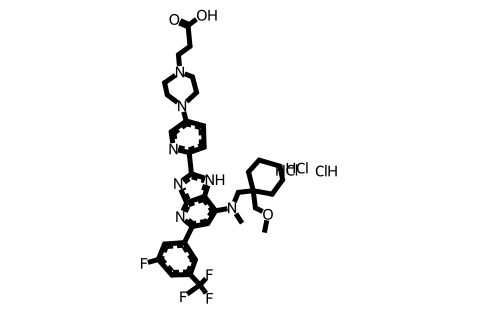 COCC1(CN(C)c2cc(-c3cc(F)cc(C(F)(F)F)c3)nc3nc(-c4ccc(N5CCN(CCC(=O)O)CC5)cn4)[nH]c23)CCCCC1.Cl.Cl.Cl